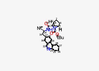 CC(C)(C)OC(=O)N1[C@@H]2CC[C@@H](C2)[C@H]1C(=O)NC(C#N)Cc1ccc2c(cnc3ccccc32)c1